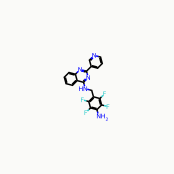 Nc1c(F)c(F)c(CNc2nc(-c3cccnc3)nc3ccccc23)c(F)c1F